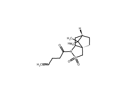 C=CCCC(=O)N1[C@H]2C[C@@H]3CC[C@@]2(CS1(=O)=O)C3(C)C